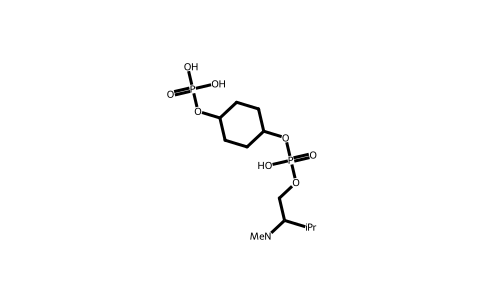 CNC(COP(=O)(O)OC1CCC(OP(=O)(O)O)CC1)C(C)C